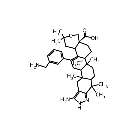 CC1(C)CC[C@]2(C(=O)O)CC[C@]3(C)C(=C(c4cccc(CN)c4)CC4[C@@]5(C)Cc6c(n[nH]c6N)C(C)(C)C5CC[C@]43C)C2C1